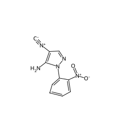 [C-]#[N+]c1cnn(-c2ccccc2[N+](=O)[O-])c1N